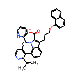 C=C(C)c1nccc(C)c1-c1cccc2c(CCCOc3cccc4ccccc34)c(C(=O)O)n(Cc3ccccn3)c12